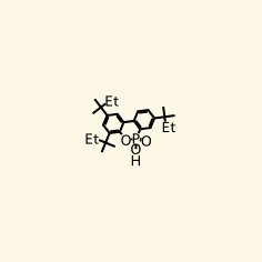 CCC(C)(C)c1cc2c(c(C(C)(C)CC)c1)OP(=O)(O)c1cc(C(C)(C)CC)ccc1-2